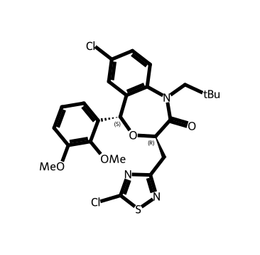 COc1cccc([C@H]2O[C@H](Cc3nsc(Cl)n3)C(=O)N(CC(C)(C)C)c3ccc(Cl)cc32)c1OC